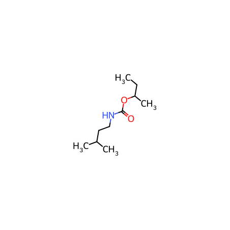 CCC(C)OC(=O)NCCC(C)C